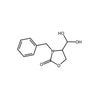 O=C1OCC(C(O)O)N1Cc1ccccc1